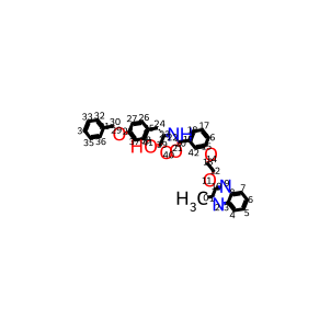 Cc1nc2ccccc2nc1OCCOc1cccc(C(=O)N[C@@H](Cc2ccc(OCc3ccccc3)cc2)C(=O)O)c1